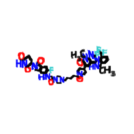 CC(Nc1ncnc2c1cc(C1=CCN(C(=O)CCCCN3CCN(C(=O)CNc4cc5c(cc4F)C(=O)N(C4CCC(=O)NC4=O)C5)CC3)CC1)c(=O)n2C)c1cccc(C(F)(F)F)c1